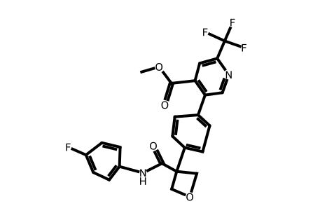 COC(=O)c1cc(C(F)(F)F)ncc1-c1ccc(C2(C(=O)Nc3ccc(F)cc3)COC2)cc1